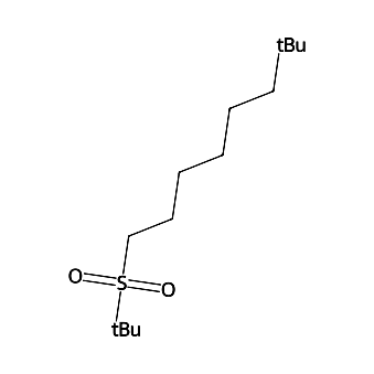 CC(C)(C)CCCCCCS(=O)(=O)C(C)(C)C